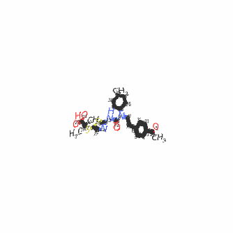 CC(=O)c1ccc(CCN(C(=O)Nc2ncc(SC(C)(C)C(=O)O)s2)C2CCC(C)CC2)cc1